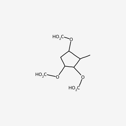 CC1C(OC(=O)O)CC(OC(=O)O)C1OC(=O)O